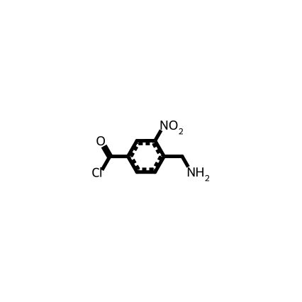 NCc1ccc(C(=O)Cl)cc1[N+](=O)[O-]